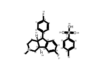 CN1CC[C@@H]2C(c3ccc(F)cc3)c3ccc(F)cc3[C@H]2C1.Cc1ccc(S(=O)(=O)O)cc1